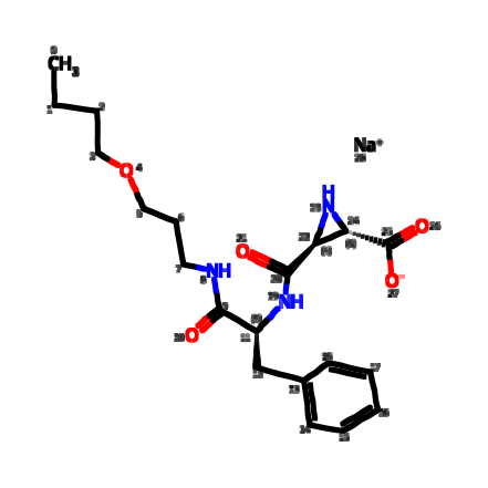 CCCCOCCCNC(=O)[C@H](Cc1ccccc1)NC(=O)[C@H]1N[C@@H]1C(=O)[O-].[Na+]